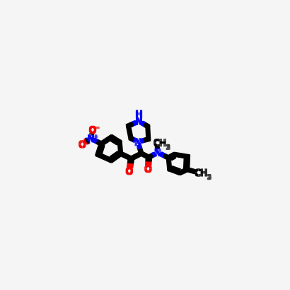 Cc1ccc(N(C)C(=O)C(C(=O)c2ccc([N+](=O)[O-])cc2)N2CCNCC2)cc1